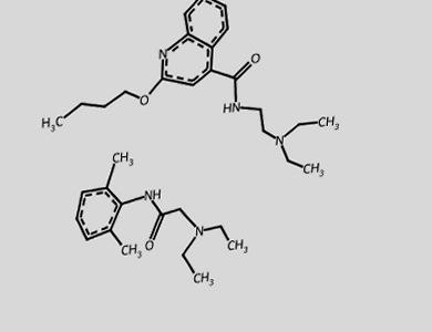 CCCCOc1cc(C(=O)NCCN(CC)CC)c2ccccc2n1.CCN(CC)CC(=O)Nc1c(C)cccc1C